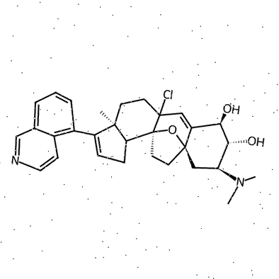 CN(C)[C@H]1C[C@@]23CC[C@]4(O2)C2CC=C(c5cccc6cnccc56)[C@@]2(C)CCC4(Cl)C=C3[C@@H](O)[C@@H]1O